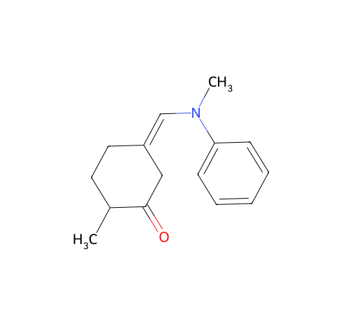 CC1CCC(=CN(C)c2ccccc2)CC1=O